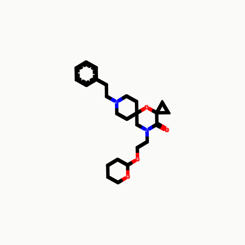 O=C1N(CCOC2CCCCO2)CC2(CCN(CCc3ccccc3)CC2)OC12CC2